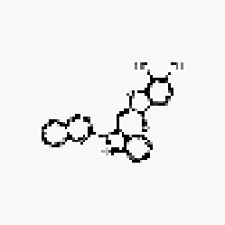 O=C1C(=Cc2c(-c3ccc4ccccc4c3)[nH]c3ccccc23)Oc2c1ccc(O)c2O